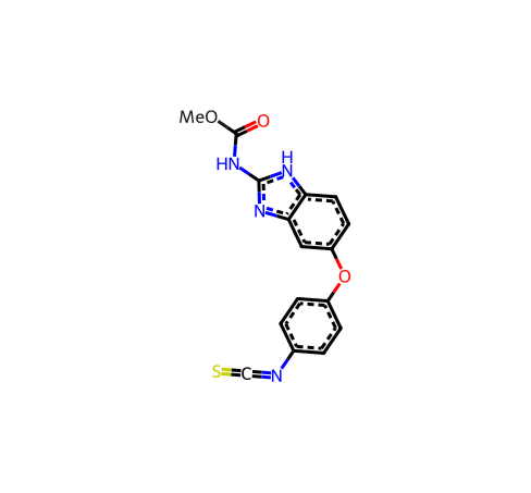 COC(=O)Nc1nc2cc(Oc3ccc(N=C=S)cc3)ccc2[nH]1